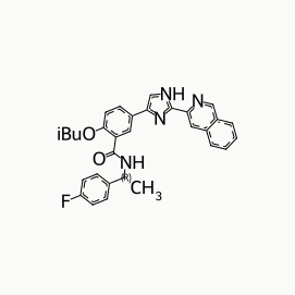 CC(C)COc1ccc(-c2c[nH]c(-c3cc4ccccc4cn3)n2)cc1C(=O)N[C@H](C)c1ccc(F)cc1